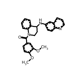 COc1ccc(C(=O)N2CCC(Nc3ccc4ncccc4c3)c3ccccc32)cc1OC